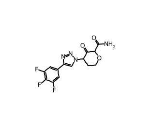 NC(=O)C1OCCC(n2cc(-c3cc(F)c(F)c(F)c3)nn2)C1=O